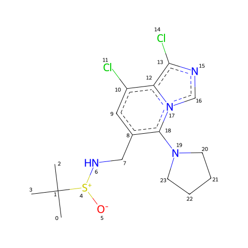 CC(C)(C)[S+]([O-])NCc1cc(Cl)c2c(Cl)ncn2c1N1CCCC1